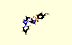 Cc1ccc(S(=O)(=O)n2ccc3c2ncc2nnc(N4CCCCC4)n23)cc1